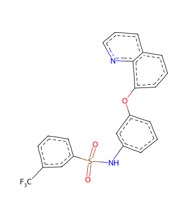 O=S(=O)(Nc1cccc(Oc2cccc3cccnc23)c1)c1cccc(C(F)(F)F)c1